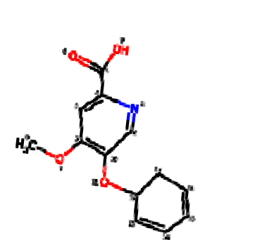 COc1cc(C(=O)O)ncc1OC1C=CC=CC1